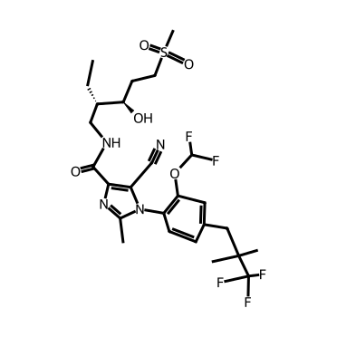 CC[C@@H](CNC(=O)c1nc(C)n(-c2ccc(CC(C)(C)C(F)(F)F)cc2OC(F)F)c1C#N)[C@H](O)CCS(C)(=O)=O